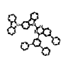 c1ccc(-c2cc(-c3ccccc3)cc(-c3nc(-n4c5ccccc5c5cc(-n6c7ccccc7c7ccccc76)ccc54)nc4ccc(-c5ccccc5)cc34)c2)cc1